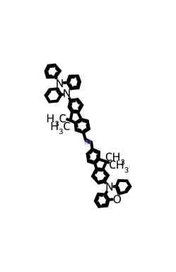 CC1(C)c2cc(/C=C/c3ccc4c(c3)C(C)(C)c3cc(N5C6=C(C=CCC6)N(c6ccccc6)c6ccccc65)ccc3-4)ccc2-c2ccc(N3C4=C(C=CCC4)Oc4ccccc43)cc21